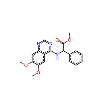 COC(=O)C(Nc1ncnc2cc(OC)c(OC)cc12)c1ccccc1